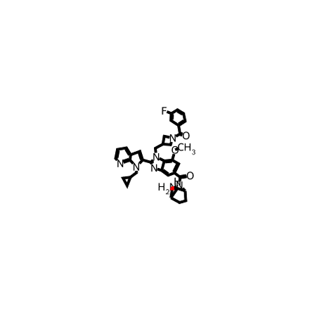 COc1cc(C(=O)N2CC3CCC2[C@@H]3N)cc2nc(-c3cc4cccnc4n3CC3CC3)n(CC3CN(C(=O)c4cccc(F)c4)C3)c12